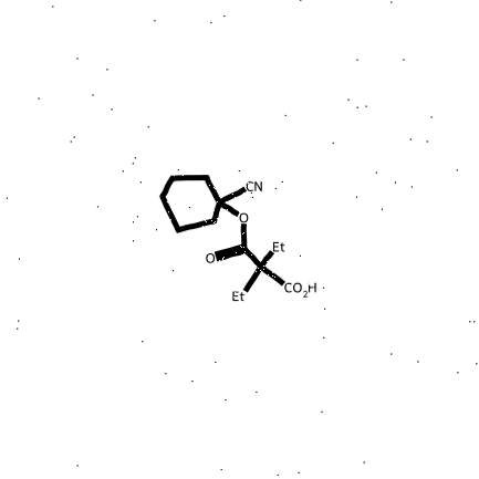 CCC(CC)(C(=O)O)C(=O)OC1(C#N)CCCCC1